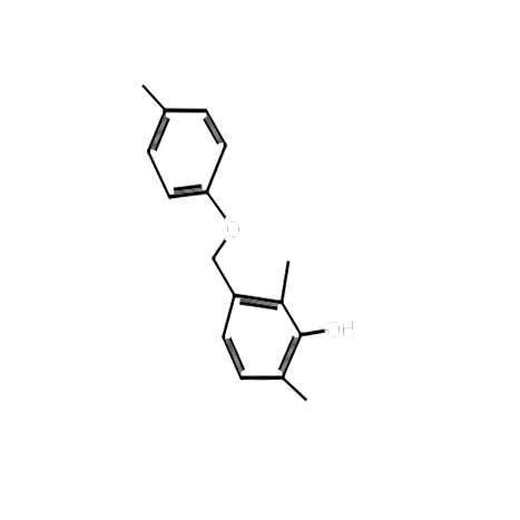 Cc1ccc(OCc2ccc(C)c(O)c2C)cc1